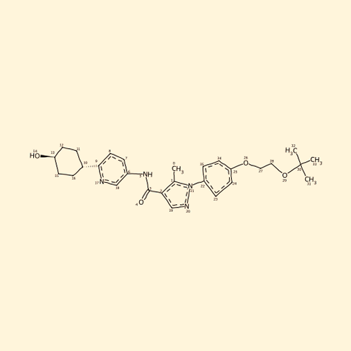 Cc1c(C(=O)Nc2ccc([C@H]3CC[C@H](O)CC3)nc2)cnn1-c1ccc(OCCOC(C)(C)C)cc1